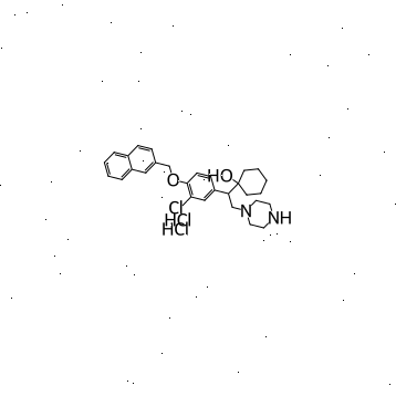 Cl.Cl.OC1(C(CN2CCNCC2)c2ccc(OCc3ccc4ccccc4c3)c(Cl)c2)CCCCC1